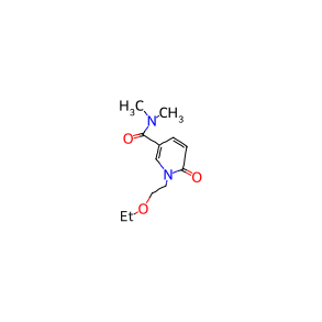 CCOCCn1cc(C(=O)N(C)C)ccc1=O